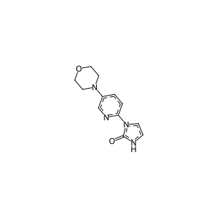 O=c1[nH]ccn1-c1ccc(N2CCOCC2)cn1